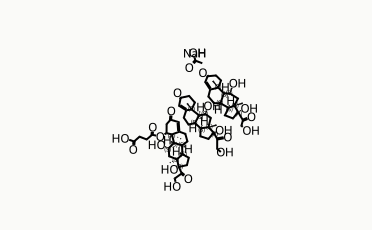 CC(=O)O.C[C@]12CCC(=O)C=C1CC[C@@H]1[C@@H]2[C@@H](O)C[C@@]2(C)[C@H]1CC[C@]2(O)C(=O)CO.C[C@]12CCC(=O)C=C1CC[C@@H]1[C@@H]2[C@@H](O)C[C@@]2(C)[C@H]1CC[C@]2(O)C(=O)CO.C[C@]12C[C@H](O)[C@H]3[C@@H](CCC4=CC(=O)CC(OC(=O)CCC(=O)O)[C@@]43C)[C@@H]1CC[C@]2(O)C(=O)CO.[NaH]